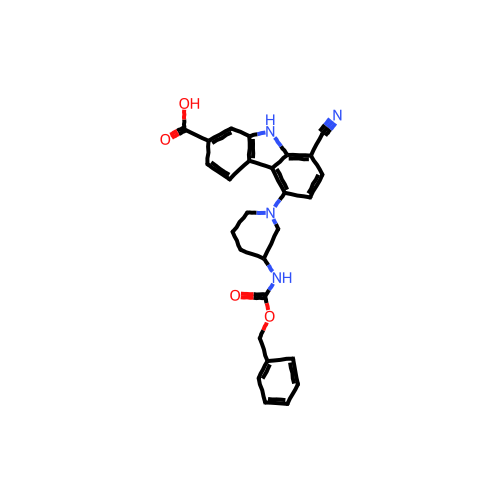 N#Cc1ccc(N2CCCC(NC(=O)OCc3ccccc3)C2)c2c1[nH]c1cc(C(=O)O)ccc12